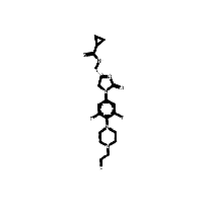 O=C1O[C@@H](CNC(=S)C2CC2)CN1c1cc(F)c(N2CCN(CCF)CC2)c(F)c1